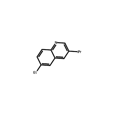 CCc1ccc2ncc(C(C)C)cc2c1